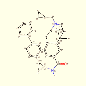 C[C@H]1C2Cc3ccc(C(=O)N(C)[C@@H]4C[C@@H]4c4ccc(-c5ccccc5)cc4)cc3[C@@]1(C)CCN2CC1CC1